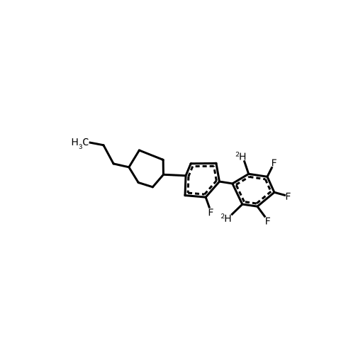 [2H]c1c(F)c(F)c(F)c([2H])c1-c1ccc(C2CCC(CCC)CC2)cc1F